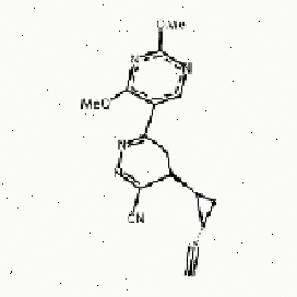 C#C[C@H]1C[C@@H]1C1CC(c2cnc(OC)nc2OC)=NN=C1C#N